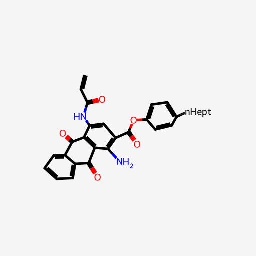 C=CC(=O)Nc1cc(C(=O)Oc2ccc(CCCCCCC)cc2)c(N)c2c1C(=O)c1ccccc1C2=O